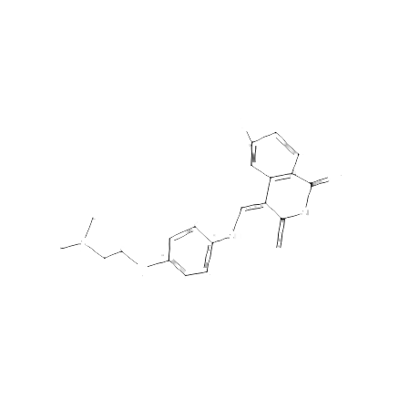 C=c1[nH]c(=O)c2ccc(Br)cc2/c1=C/Nc1ccc(OCCN(C)C)cc1